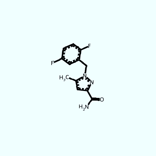 Cc1cc(C(N)=O)nn1Cc1cc(F)ccc1F